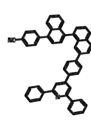 N#Cc1ccc(-c2ccc(-c3cccc4ccc(-c5ccc(-c6cc(-c7ccccc7)nc(-c7ccccc7)c6)cc5)cc34)c3ccccc23)cc1